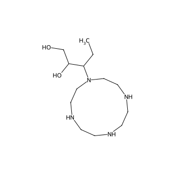 CCC(C(O)CO)N1CCNCCNCCNCC1